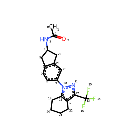 CC(=O)NC1Cc2ccc(-n3nc(C(F)(F)F)c4c3CCCC4)cc2C1